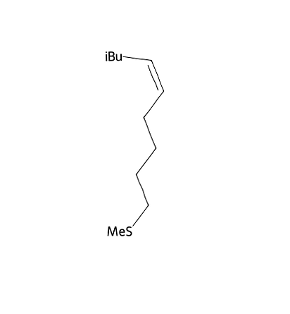 CCC(C)/C=C\CCCCSC